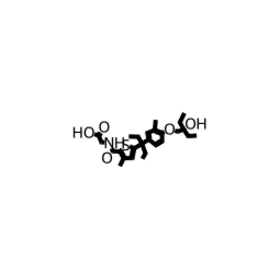 CCC(O)(CC)COc1ccc(C(CC)(CC)c2cc(C)c(C(=O)NCC(=O)O)s2)cc1C